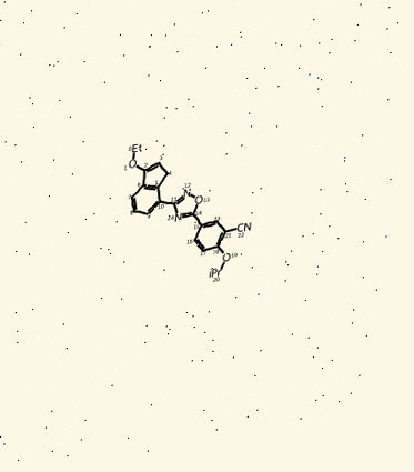 CCOC1=CCc2c1cccc2-c1noc(-c2ccc(OC(C)C)c(C#N)c2)n1